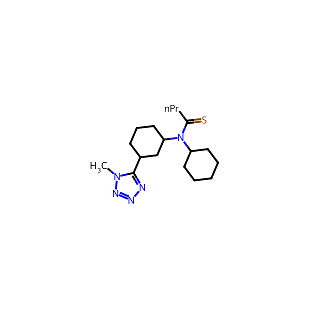 CCCC(=S)N(C1CCCCC1)C1CCCC(c2nnnn2C)C1